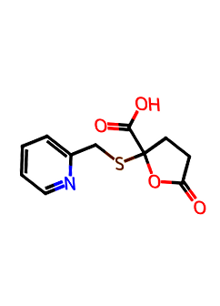 O=C1CCC(SCc2ccccn2)(C(=O)O)O1